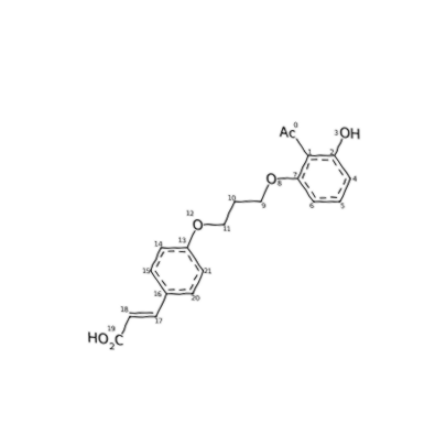 CC(=O)c1c(O)cccc1OCCCOc1ccc(C=CC(=O)O)cc1